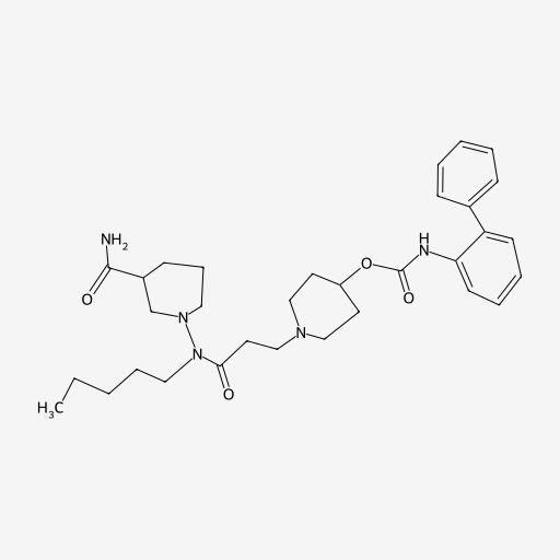 CCCCCN(C(=O)CCN1CCC(OC(=O)Nc2ccccc2-c2ccccc2)CC1)N1CCCC(C(N)=O)C1